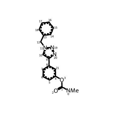 CNC(=O)Oc1cccc(-c2cn(Cc3ccccc3)nn2)c1